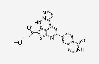 COCC[S+]([O-])c1sc2nc(-c3ccc4c(=O)[nH]ccc4c3)cc3c2c1[nH]n1nccc31